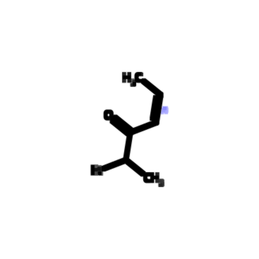 C/C=C\C(=O)C(C)CC